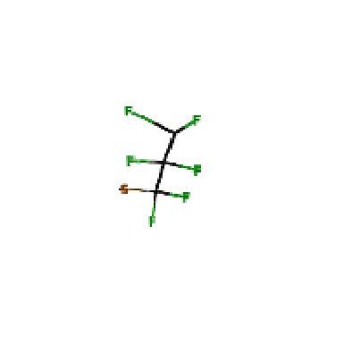 FC(F)C(F)(F)C(F)(F)[S]